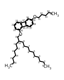 CCCCCCCCCCC(CCCCCCC)COc1cccc2c1-c1ccc(OCCCCC)cc1-2